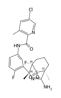 Cc1cc(Cl)cnc1C(=O)Nc1ccc(F)c([C@@]2(C)N=C(N)[C@]3(C)CCC[C@@]2(F)S3(=O)=O)c1